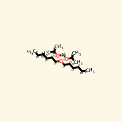 CC(C)[O][Al][O]C(C)C.CCCCCCOCCCCCC